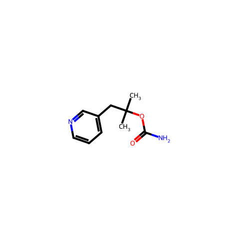 CC(C)(Cc1cccnc1)OC(N)=O